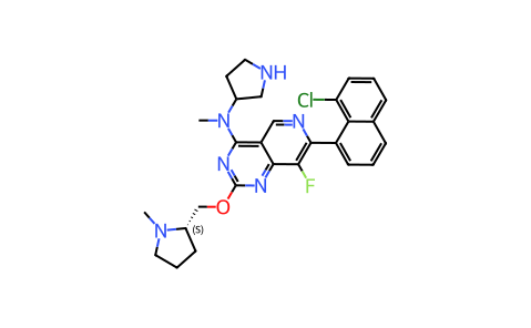 CN(c1nc(OC[C@@H]2CCCN2C)nc2c(F)c(-c3cccc4cccc(Cl)c34)ncc12)C1CCNC1